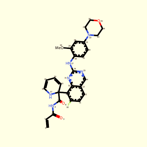 C=CC(=O)NC(=O)C1(c2c(F)ccc3cnc(Nc4ccc(N5CCOCC5)cc4OC)nc23)C=CC=CN1